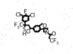 O=C(CC(S)(c1cc(Cl)c(F)c(Cl)c1)C(F)(F)F)c1ccc2c(c1)COC21CN(C(=O)CC(F)(F)F)C1